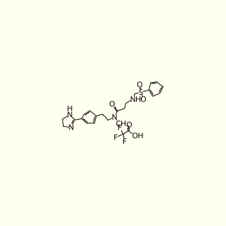 CN(CCc1ccc(C2=NCCN2)cc1)C(=O)CCNCS(=O)(=O)c1ccccc1.O=C(O)C(F)(F)F